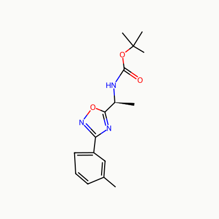 Cc1cccc(-c2noc([C@H](C)NC(=O)OC(C)(C)C)n2)c1